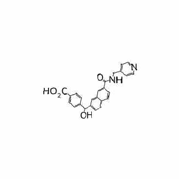 O=C(O)c1ccc(C(O)c2ccc3ccc(C(=O)NCc4ccncc4)cc3c2)cc1